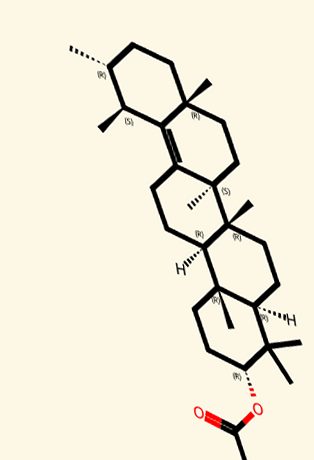 CC(=O)O[C@@H]1CC[C@]2(C)[C@H]3CCC4=C5[C@@H](C)[C@H](C)CC[C@]5(C)CC[C@@]4(C)[C@]3(C)CC[C@H]2C1(C)C